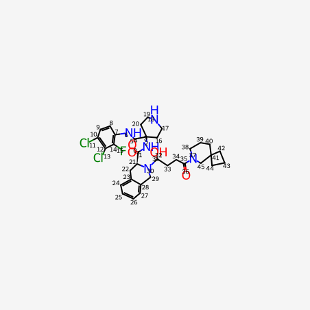 O=C(NC1(C(=O)Nc2ccc(Cl)c(Cl)c2F)CCNCC1)[C@@H]1Cc2ccccc2CN1C(O)CCC(=O)N1CCCC2(CCC2)C1